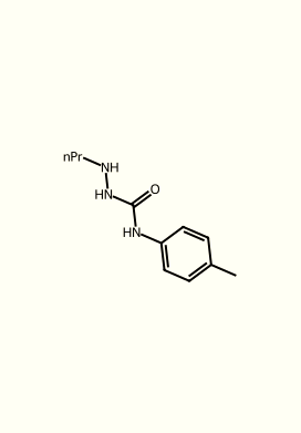 CCCNNC(=O)Nc1ccc(C)cc1